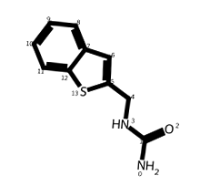 NC(=O)NCc1cc2ccccc2s1